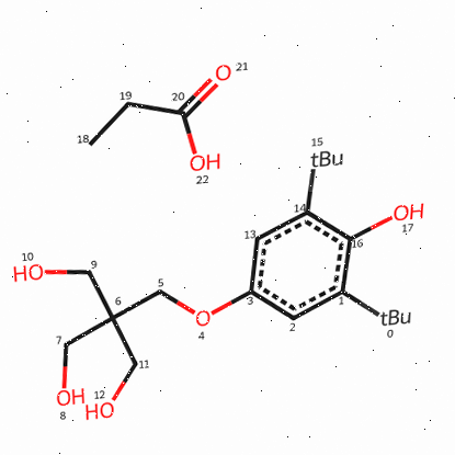 CC(C)(C)c1cc(OCC(CO)(CO)CO)cc(C(C)(C)C)c1O.CCC(=O)O